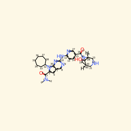 CN(C)C(=O)c1cc2cnc(Nc3ccc(C(=O)N4C[C@H]5CNC[C@@H]4C5O)cn3)nc2n1C1CCCCCC1